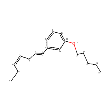 CC/C=C\C/C=C/c1cccc(OCCCCC)c1